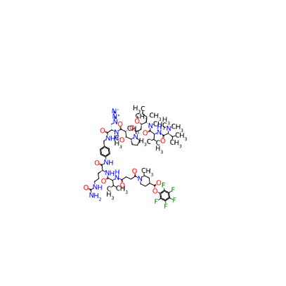 CC[C@H](C)[C@@H]([C@@H](CC(=O)N1CCC[C@H]1[C@H](OC)[C@@H](C)C(=O)N[C@@H](CN=[N+]=[N-])C(=O)NCc1ccc(NC(=O)[C@H](CCCNC(N)=O)NC(=O)[C@@H](NC(=O)CCC(=O)N2CCC(C(=O)Oc3c(F)c(F)c(F)c(F)c3F)CC2C)C(C)C)cc1)OC)N(C)C(=O)[C@@H](NC(=O)[C@H](C(C)C)N(C)C)C(C)C